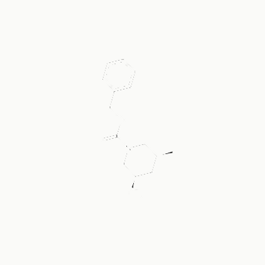 C[C@H]1C[C@@H](C(F)(F)F)CN(C(=O)OCc2ccccc2)C1